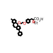 CCOC(Cc1ccc(OCCOC2c3ccc(C)cc3C=Cc3cc(-c4ccccc4)ccc32)cc1)C(=O)O